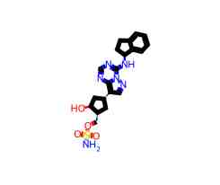 NS(=O)(=O)OC[C@H]1C[C@@H](c2cnn3c(N[C@H]4CCc5ccccc54)ncnc23)C[C@@H]1O